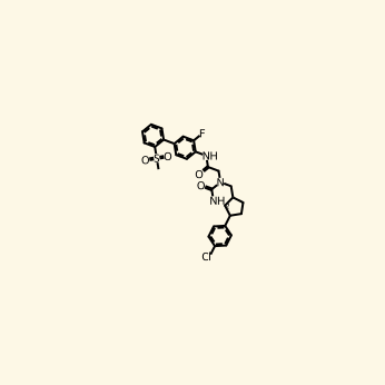 CS(=O)(=O)c1ccccc1-c1ccc(NC(=O)CN(CC2CCC(c3ccc(Cl)cc3)C2)C(N)=O)c(F)c1